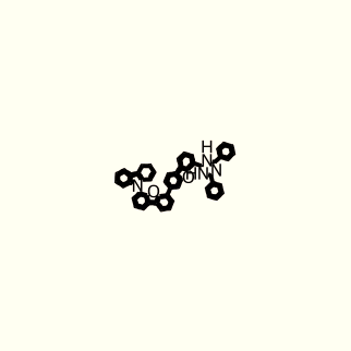 C1=Cc2c(c3ccccc3n2-c2cccc3c2oc2c(-c4ccc5c(c4)oc4c(C6NC(c7ccccc7)=NC(c7ccccc7)N6)cccc45)cccc23)CC1